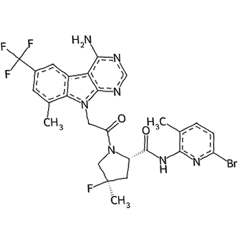 Cc1ccc(Br)nc1NC(=O)[C@@H]1C[C@@](C)(F)CN1C(=O)Cn1c2ncnc(N)c2c2cc(C(F)(F)F)cc(C)c21